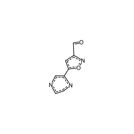 O=Cc1cc(-c2cnccn2)on1